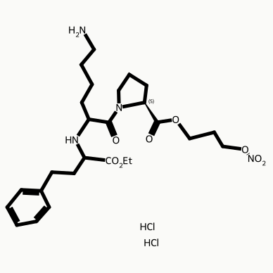 CCOC(=O)C(CCc1ccccc1)NC(CCCCN)C(=O)N1CCC[C@H]1C(=O)OCCCO[N+](=O)[O-].Cl.Cl